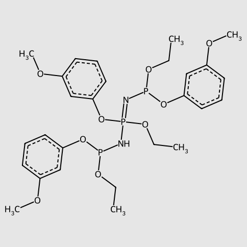 CCOP(N=P(NP(OCC)Oc1cccc(OC)c1)(OCC)Oc1cccc(OC)c1)Oc1cccc(OC)c1